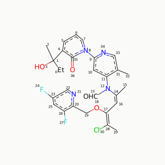 CCC(C)(O)c1cccn(-c2cc(N(C=O)/C(C)=C\C(OCc3ncc(F)cc3F)=C(/C)Cl)c(C)cn2)c1=O